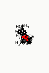 CC(O)C#Cc1ccc(-c2ccc(Cl)c3c(NS(C)(=O)=O)nn(C)c23)c([C@H](Cc2cc(F)cc(F)c2)NC(=O)Cn2nc(C(F)(F)F)c3c2C(F)(F)[C@@H]2CC[C@H]32)n1